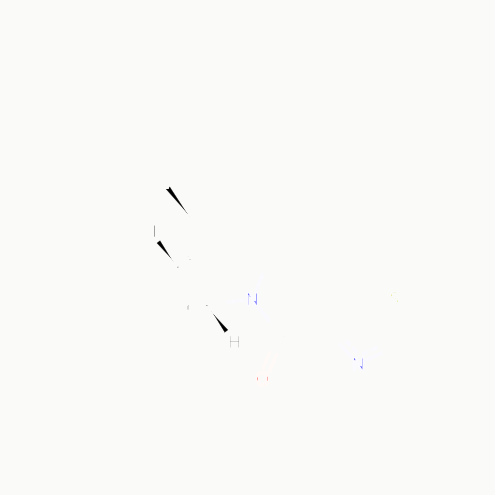 O=C(c1cscn1)N1CC[C@H](c2ccccc2)[C@H]2CCCC[C@H]21